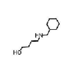 OCCCCNCC1CCCCC1